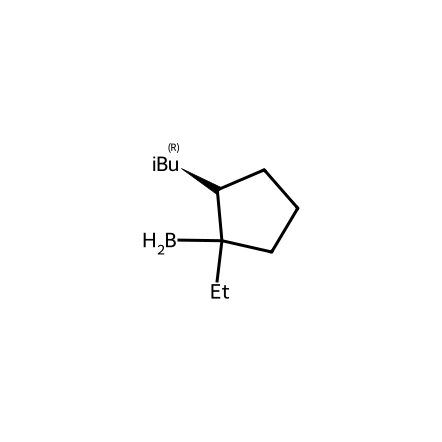 BC1(CC)CCCC1[C@H](C)CC